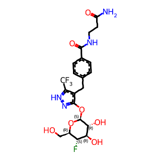 NC(=O)CCNC(=O)c1ccc(Cc2c(O[C@@H]3O[C@H](CO)[C@@H](F)[C@H](O)[C@H]3O)n[nH]c2C(F)(F)F)cc1